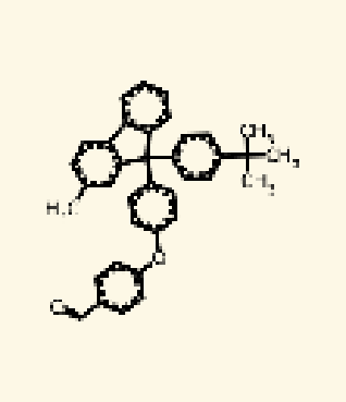 Cc1ccc2c(c1)C(c1ccc(Oc3ccc(C=O)cc3)cc1)(c1ccc(C(C)(C)C)cc1)c1ccccc1-2